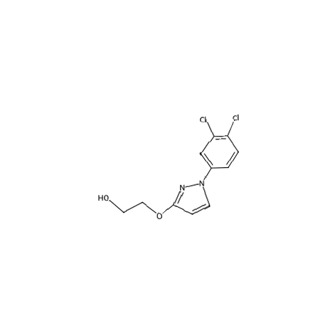 OCCOc1ccn(-c2ccc(Cl)c(Cl)c2)n1